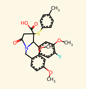 COc1ccc(CN2C(=O)CC(Sc3ccc(C)cc3)(C(=O)O)C2c2ccc(F)c(OC)c2)c(OC)c1